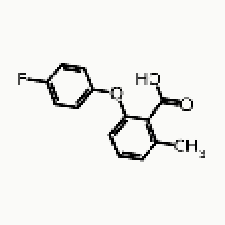 Cc1cccc(Oc2ccc(F)cc2)c1C(=O)O